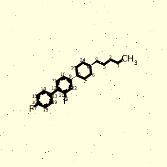 CCCCC[C@H]1CC[C@H](c2ccc(-c3ccc(F)cc3)c(F)c2)CC1